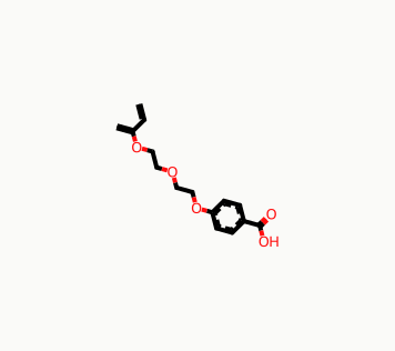 C=CC(=C)OCCOCCOc1ccc(C(=O)O)cc1